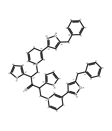 O=C(C(CN1C=CCC(c2cc(Cc3ccccc3)on2)=C1)c1cccs1)C(CN1C=CCC(c2cc(Cc3ccccc3)on2)=C1)c1cccs1